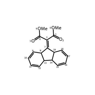 COC(=O)C(C(=O)OC)=C1C2C=CC=CC2C2C=CC=CC12